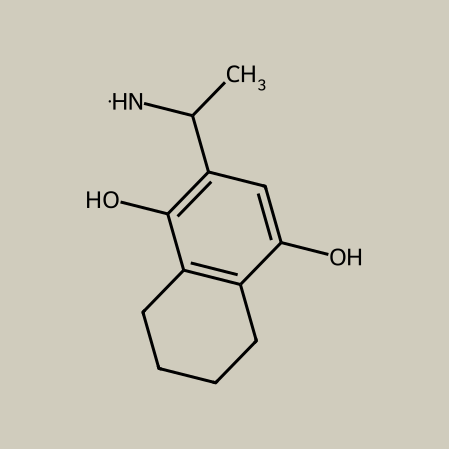 CC([NH])c1cc(O)c2c(c1O)CCCC2